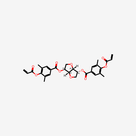 C=CC(=O)Oc1c(C)cc(C(=O)O[C@H]2CO[C@H]3[C@@H]2OC[C@H]3OC(=O)c2cc(C)c(OC(=O)C=C)c(C)c2)cc1C